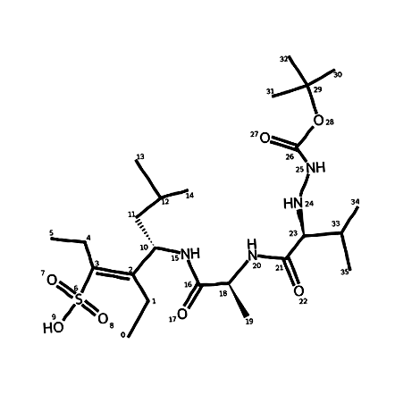 CCC(=C(CC)S(=O)(=O)O)[C@H](CC(C)C)NC(=O)[C@H](C)NC(=O)[C@@H](NNC(=O)OC(C)(C)C)C(C)C